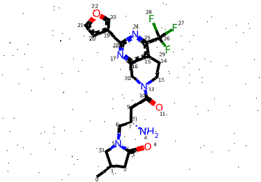 CC1CC(=O)N(C[C@@H](N)CC(=O)N2CCc3c(nc(-c4ccoc4)nc3C(F)(F)F)C2)C1